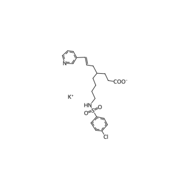 O=C([O-])CCC(CC=Cc1cccnc1)CCCCNS(=O)(=O)c1ccc(Cl)cc1.[K+]